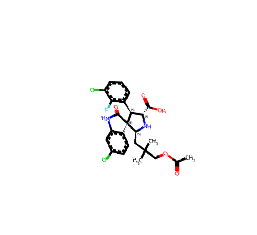 CC(=O)OCC(C)(C)C[C@@H]1N[C@@H](C(=O)O)[C@H](c2cccc(Cl)c2F)[C@]12C(=O)Nc1cc(Cl)ccc12